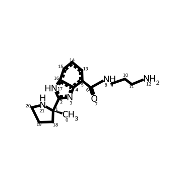 C[C@@]1(c2nc3c(C(=O)NCCCN)cccc3[nH]2)CCCN1